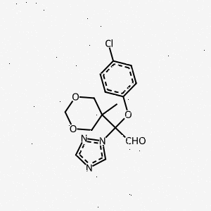 CC1(C(C=O)(Oc2ccc(Cl)cc2)n2cncn2)COCOC1